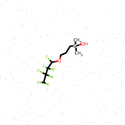 C[Si](C)(O)CCCOC(F)C(F)(F)C(F)(F)C(F)F